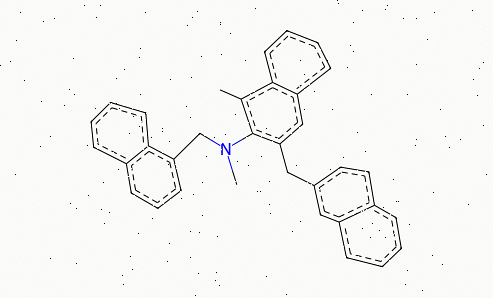 Cc1c(N(C)Cc2cccc3ccccc23)c(Cc2ccc3ccccc3c2)cc2ccccc12